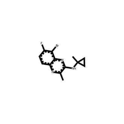 Cc1nc2ccc(F)c(Br)c2nc1NC1(C)CC1